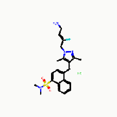 Cc1nn(CC(F)=CCN)c(C)c1Cc1ccc(S(=O)(=O)N(C)C)c2ccccc12.Cl